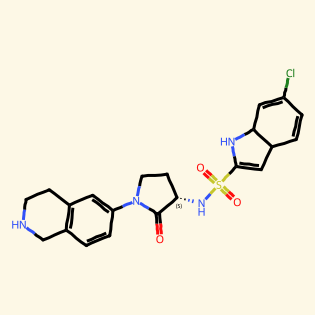 O=C1[C@@H](NS(=O)(=O)C2=CC3C=CC(Cl)=CC3N2)CCN1c1ccc2c(c1)CCNC2